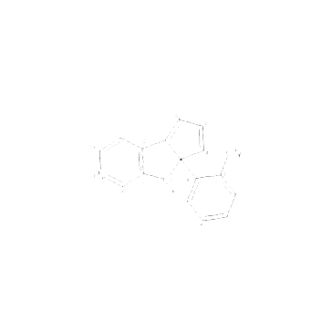 N#Cc1ccccc1C12C=CC=C1c1ccncc1O2